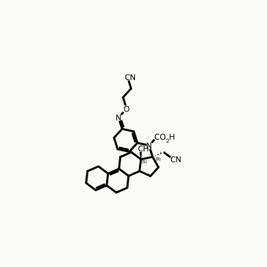 C[C@]12CCC3=C4CCCC=C4CCC3C1CC[C@]2(CC#N)N(C(=O)O)C1=CC(=NOCCC#N)CC=C1